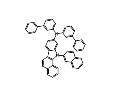 c1ccc(-c2cccc(N(c3cccc(-c4ccccc4)c3)c3ccc4c5ccc6ccccc6c5n(-c5ccc6ccccc6c5)c4c3)c2)cc1